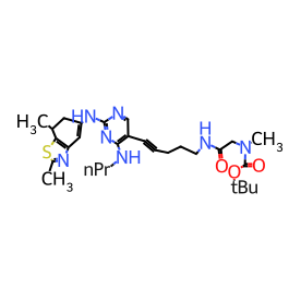 CCCNc1nc(NC2=Cc3nc(C)sc3C(C)C2)ncc1C#CCCCNC(=O)CN(C)C(=O)OC(C)(C)C